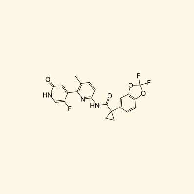 Cc1ccc(NC(=O)C2(c3ccc4c(c3)OC(F)(F)O4)CC2)nc1-c1cc(=O)[nH]cc1F